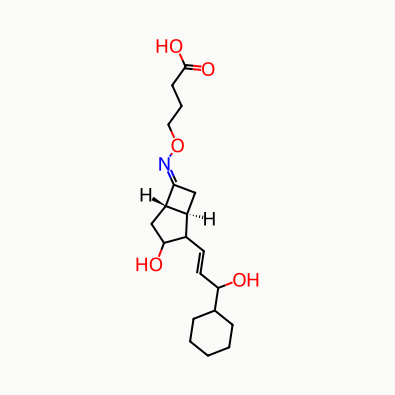 O=C(O)CCCON=C1C[C@H]2C(C=CC(O)C3CCCCC3)C(O)C[C@H]12